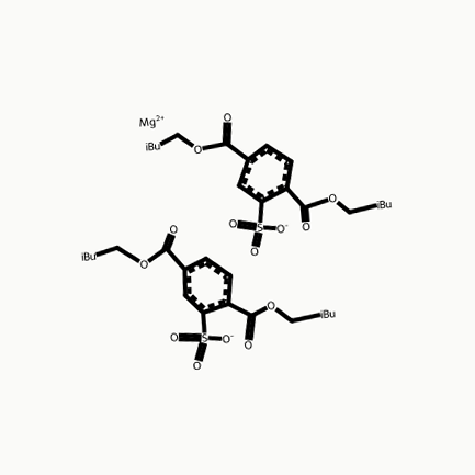 CCC(C)COC(=O)c1ccc(C(=O)OCC(C)CC)c(S(=O)(=O)[O-])c1.CCC(C)COC(=O)c1ccc(C(=O)OCC(C)CC)c(S(=O)(=O)[O-])c1.[Mg+2]